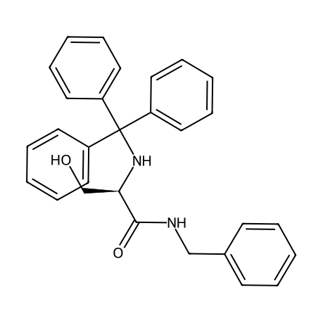 O=C(NCc1ccccc1)[C@@H](CO)NC(c1ccccc1)(c1ccccc1)c1ccccc1